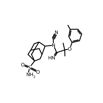 Cc1cccc(OC(C)(C)C(=N)N(C#N)C2C3CC4CC2CC(S(N)(=O)=O)(C4)C3)c1